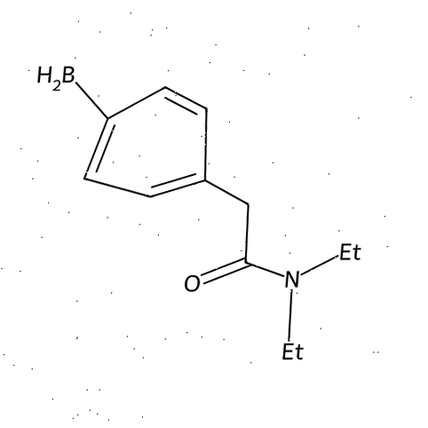 Bc1ccc(CC(=O)N(CC)CC)cc1